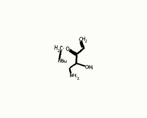 C=CC(=O)C(O)CN.[CH2]CCCC